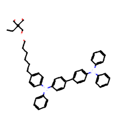 CCC1(COCCCCCCc2ccc(N(c3ccccc3)c3ccc(-c4ccc(N(c5ccccc5)c5ccccc5)cc4)cc3)cc2)COC1